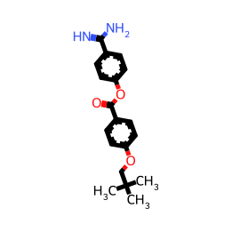 CC(C)(C)COc1ccc(C(=O)Oc2ccc(C(=N)N)cc2)cc1